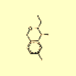 CCC1OCc2ccc(C)cc2[C@@H]1C